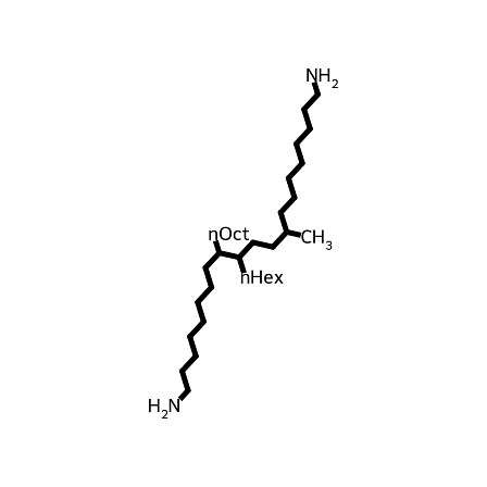 CCCCCCCCC(CCCCCCCCN)C(CCCCCC)CCC(C)CCCCCCCCN